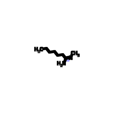 CCCCCC/C(N)=N\C